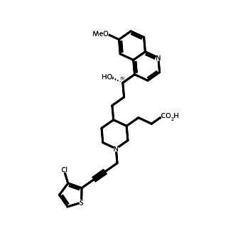 COc1ccc2nccc([C@@H](O)CCC3CCN(CC#Cc4sccc4Cl)CC3CCC(=O)O)c2c1